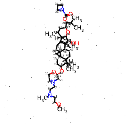 COCCN(C)CCN1CCO[C@@H](O[C@H]2CC[C@]34CC35CC[C@]3(C)[C@@H]6C(OC([C@H](OC(=O)N7CCC7)C(C)C)C[C@H]6C)[C@H](O)[C@@]3(C)C5CC[C@H]4C2(C)C)C1